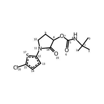 CC(C)(C)NC(=O)OC1CCN(c2ccc(Cl)s2)C1=O